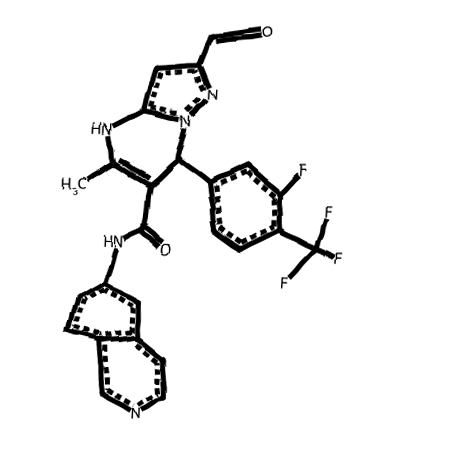 CC1=C(C(=O)Nc2ccc3cnccc3c2)C(c2ccc(C(F)(F)F)c(F)c2)n2nc(C=O)cc2N1